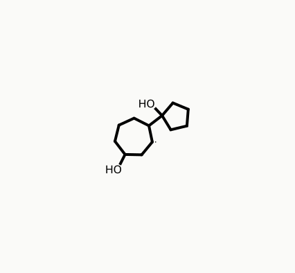 OC1C[CH]C(C2(O)CCCC2)CCC1